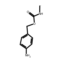 [CH2]NC(=O)OCc1ccc(N)cc1